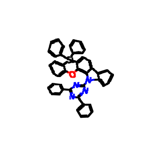 c1ccc(-c2nc(-c3ccccc3)nc(-n3c4ccccc4c4ccc5c(c43)Oc3ccccc3[Si]5(c3ccccc3)c3ccccc3)n2)cc1